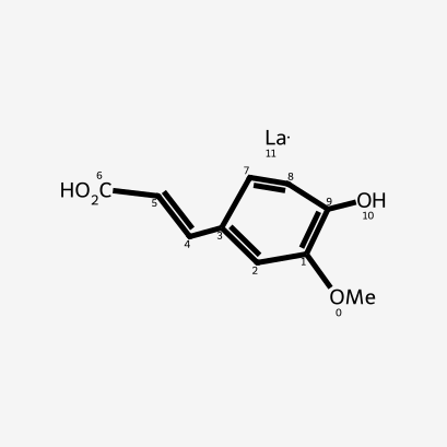 COc1cc(C=CC(=O)O)ccc1O.[La]